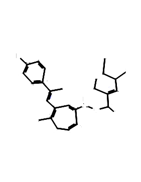 CC/C(=C\C(C)CC)C(C)ONC1=CC(/C=C(\C)c2ccc(F)cc2)=C(C)CC=C1